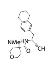 C#CC(Cc1ccc2c(c1)CCCC2)NC(=O)C1(NC)CCOCC1